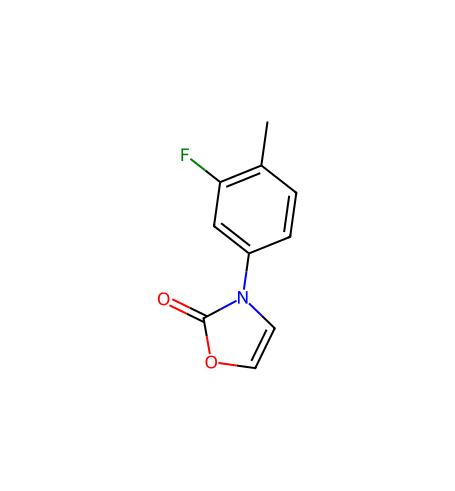 Cc1ccc(-n2ccoc2=O)cc1F